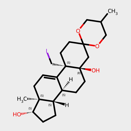 CC1COC2(CC[C@]3(CI)C4=CC[C@]5(C)[C@@H](O)CC[C@H]5[C@@H]4CC[C@@]3(O)C2)OC1